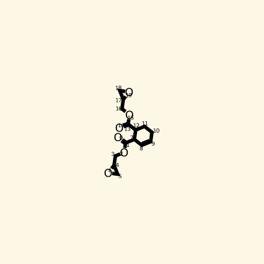 O=C(OCC1CO1)C1C=CCCC1C(=O)OCC1CO1